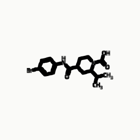 CC(C)C1CC(C(=O)Nc2ccc(Br)cc2)CCN1C(=O)O